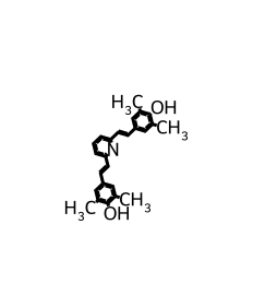 Cc1cc(C=Cc2cccc(C=Cc3cc(C)c(O)c(C)c3)n2)cc(C)c1O